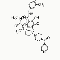 Cc1cc(CNC(=O)c2nc3n(c(=O)c2O)CC2(N4CCN(C(=O)c5ccncc5)CC4)CCC3(N(C)C(=O)C(=O)N(C)C)CC2)ccc1F